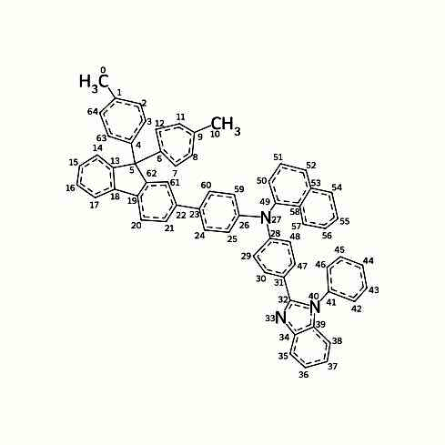 Cc1ccc(C2(c3ccc(C)cc3)c3ccccc3-c3ccc(-c4ccc(N(c5ccc(-c6nc7ccccc7n6-c6ccccc6)cc5)c5cccc6ccccc56)cc4)cc32)cc1